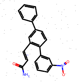 NC(=O)/C=C/c1cc(-c2ccccc2)ccc1-c1cccc([N+](=O)[O-])c1